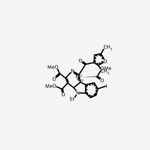 CCN1c2ccc(I)cc2[C@]23C[C@@H](C(=O)OC)N(C(=O)c4cc(C)oc4C)C2=NC(C(=O)OC)=C(C(=O)OC)C13